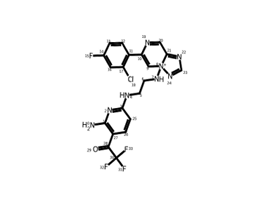 Nc1nc(NCCN[N+]23C=C(c4ccc(F)cc4Cl)N=CC2=NC=N3)ccc1C(=O)C(F)(F)F